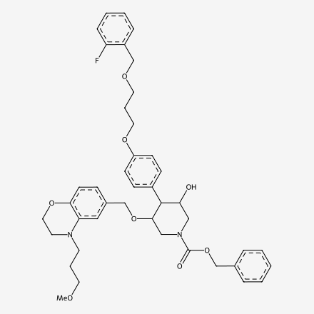 COCCCN1CCOc2ccc(COC3CN(C(=O)OCc4ccccc4)CC(O)C3c3ccc(OCCCOCc4ccccc4F)cc3)cc21